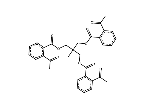 CC(=O)c1ccccc1C(=O)OCC(C)(COC(=O)c1ccccc1C(C)=O)COC(=O)c1ccccc1C(C)=O